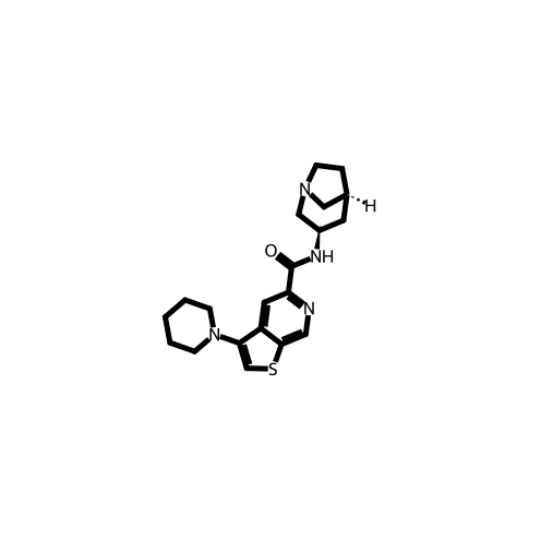 O=C(N[C@@H]1C[C@@H]2CCN(C2)C1)c1cc2c(N3CCCCC3)csc2cn1